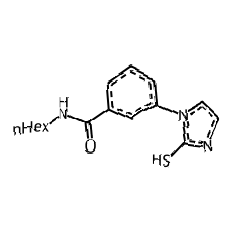 CCCCCCNC(=O)c1cccc(-n2ccnc2S)c1